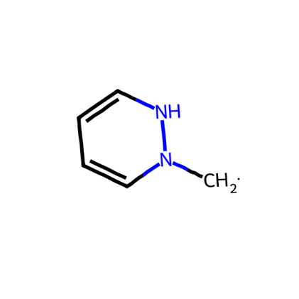 [CH2]N1C=CC=CN1